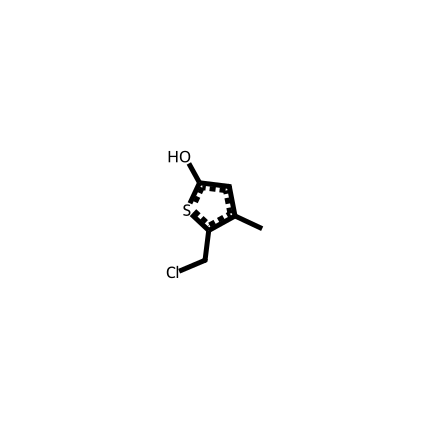 Cc1cc(O)sc1CCl